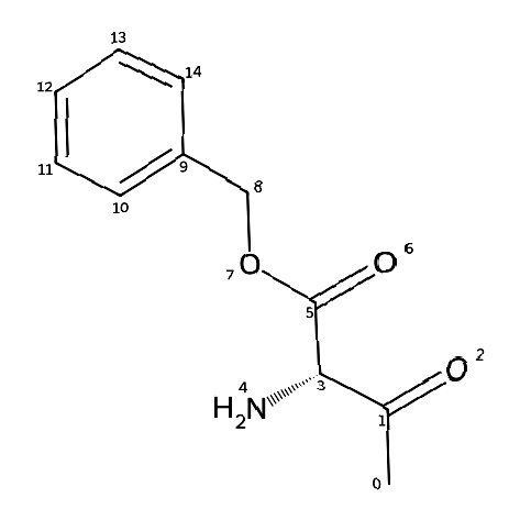 CC(=O)[C@H](N)C(=O)OCc1ccccc1